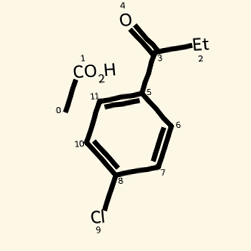 CC(=O)O.CCC(=O)c1ccc(Cl)cc1